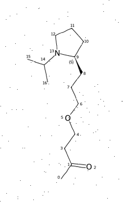 CC(=O)CCOCCC[C@@H]1CCCN1C(C)C